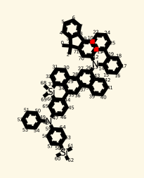 CC1(C)c2ccccc2-c2ccc(N(c3ccccc3-c3ccccc3)c3cc4c5cccc6c5c(cc4c4ccccc34)-c3ccc(N(c4ccccc4)c4ccc([Si](C)(C)C)cc4)cc3[Si]6(C)C)cc21